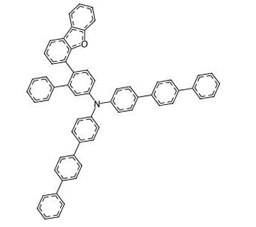 c1ccc(-c2ccc(-c3ccc(N(c4ccc(-c5ccc(-c6ccccc6)cc5)cc4)c4ccc(-c5cccc6c5oc5ccccc56)c(-c5ccccc5)c4)cc3)cc2)cc1